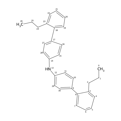 CCCc1ccccc1-c1ccc(Nc2ccc(-c3ccccc3CCC)cc2)cc1